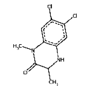 CC1Nc2cc(Cl)c(Cl)cc2N(C)C1=O